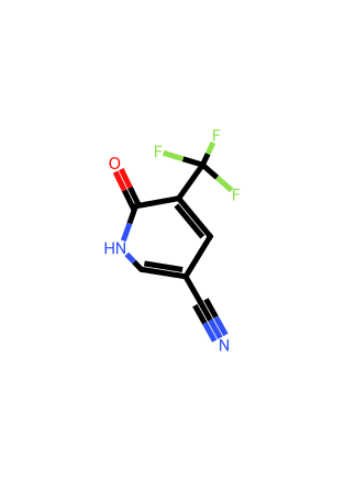 N#Cc1c[nH]c(=O)c(C(F)(F)F)c1